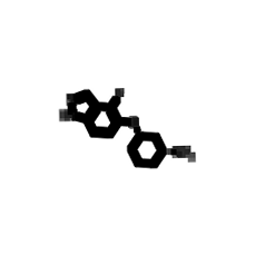 N[C@@H]1CCC[C@H](Oc2ccc3[nH]ncc3c2F)C1